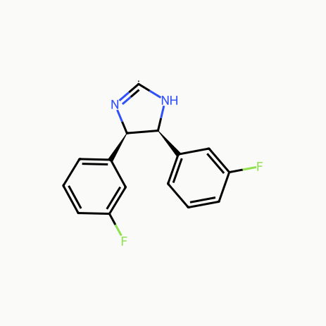 Fc1cccc([C@H]2N=[C]N[C@H]2c2cccc(F)c2)c1